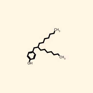 CCCCCCCC(CCCCCCC)Cc1ccc(O)cc1